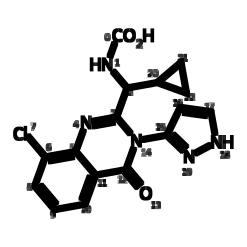 O=C(O)NC(c1nc2c(Cl)cccc2c(=O)n1-c1cc[nH]n1)C1CC1